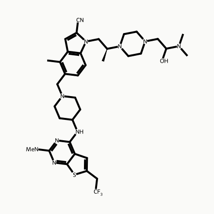 CNc1nc(NC2CCN(Cc3ccc4c(cc(C#N)n4C[C@H](C)N4CCN(CC(O)N(C)C)CC4)c3C)CC2)c2cc(CC(F)(F)F)sc2n1